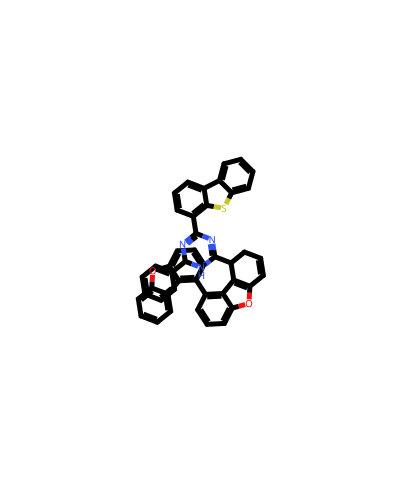 C1=Cc2oc3cccc(-c4cccc5oc6ccccc6c45)c3c2C(C2=NC(c3cccc4c3sc3ccccc34)=NC(c3ccccc3)N2)C1